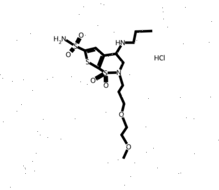 CCCNC1CN(CCCOCCOC)S(=O)(=O)c2sc(S(N)(=O)=O)cc21.Cl